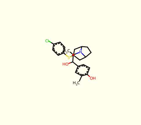 Cc1cc(C(O)C(C)N2C3CCC2CC(Sc2ccc(Cl)cc2)C3)ccc1O